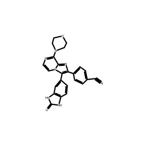 N#Cc1ccc(-c2nc3c(N4CCOCC4)nccn3c2-c2ccc3[nH]c(=O)[nH]c3c2)cc1